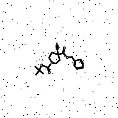 CC(C)(C)OC(=O)N1CCC(C#N)(C(=O)OCc2ccccc2)CC1